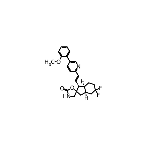 COc1ccccc1-c1ccc(/C=C/[C@H]2[C@@H]3CCC(F)(F)C[C@@H]3CC23CNC(=O)O3)nc1